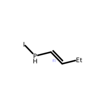 CC/C=C/PI